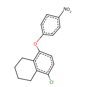 O=[N+]([O-])c1ccc(Oc2ccc(Cl)c3c2CCCC3)cc1